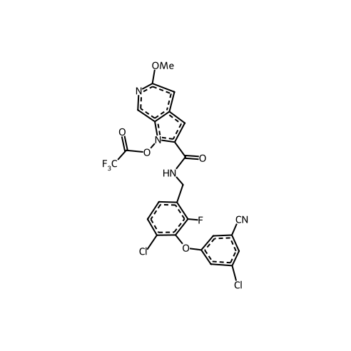 COc1cc2cc(C(=O)NCc3ccc(Cl)c(Oc4cc(Cl)cc(C#N)c4)c3F)n(OC(=O)C(F)(F)F)c2cn1